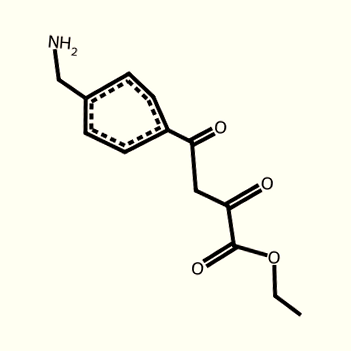 CCOC(=O)C(=O)CC(=O)c1ccc(CN)cc1